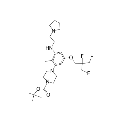 Cc1c(NCCN2CCCC2)cc(OCC(F)(CF)CF)cc1N1CCN(C(=O)OC(C)(C)C)CC1